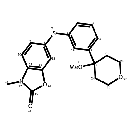 COC1(c2cccc(Sc3ccc4c(c3)oc(=O)n4C)c2)CCOCC1